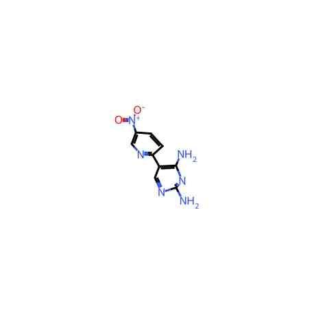 Nc1ncc(-c2ccc([N+](=O)[O-])cn2)c(N)n1